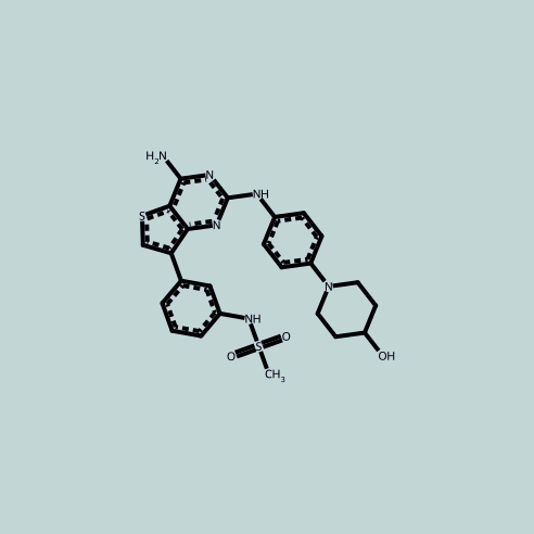 CS(=O)(=O)Nc1cccc(-c2csc3c(N)nc(Nc4ccc(N5CCC(O)CC5)cc4)nc23)c1